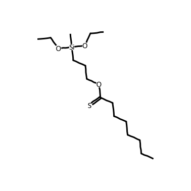 CCCCCCCC(=S)OCCC[Si](C)(OCC)OCC